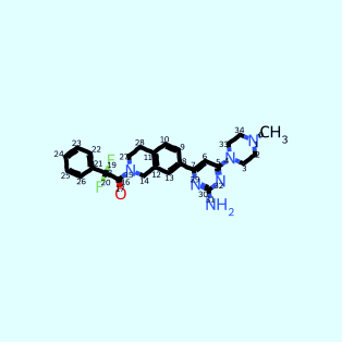 CN1CCN(c2cc(-c3ccc4c(c3)CN(C(=O)C(F)(F)c3ccccc3)CC4)nc(N)n2)CC1